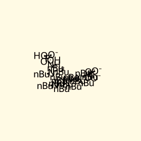 CCCC[N+](CCCC)(CCCC)CCCC.CCCC[N+](CCCC)(CCCC)CCCC.CCCC[N+](CCCC)(CCCC)CCCC.CCCC[N+](CCCC)(CCCC)CCCC.N.O=P([O-])(O)O.O=P([O-])([O-])[O-]